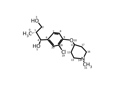 C[C@H](CO)[C@H](O)c1ccc(OC2CCN(C)CC2)c(Cl)c1